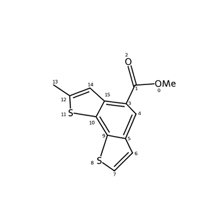 COC(=O)c1cc2ccsc2c2sc(C)cc12